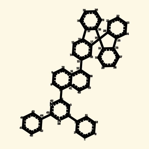 c1ccc(-c2cc(-c3cccc4c(-c5ccc6c(c5)C5(c7ccccc7-c7ccccc75)c5ccccc5-6)cccc34)nc(-c3ccccc3)n2)cc1